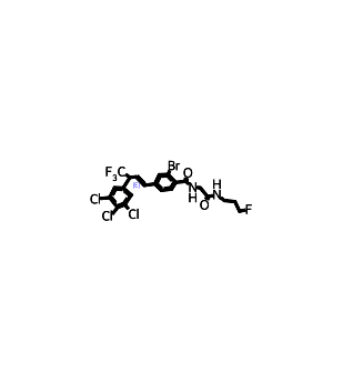 O=C(CNC(=O)c1ccc(/C=C/C(c2cc(Cl)c(Cl)c(Cl)c2)C(F)(F)F)cc1Br)NCCCF